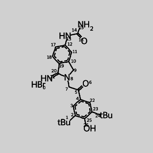 Br.CC(C)(C)c1cc(C(=O)CN2Cc3cc(NC(N)=O)ccc3C2=N)cc(C(C)(C)C)c1O